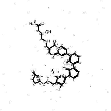 COc1nc(-c2cccc(-c3cccc(-c4ccn5c(=O)c(CNC[C@@H](O)CC(N)=O)cnc5c4)c3Cl)c2Cl)cc(F)c1CNC[C@H]1CCC(=O)N1